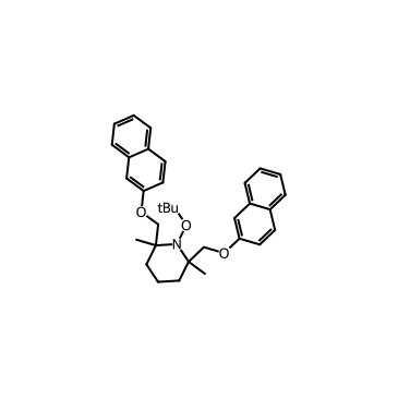 CC(C)(C)ON1C(C)(COc2ccc3ccccc3c2)CCCC1(C)COc1ccc2ccccc2c1